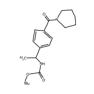 CC(NC(=O)OC(C)(C)C)c1ccc(C(=O)N2CCCCC2)cc1